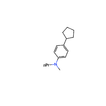 CCCN(C)c1ccc(C2CCCC2)cc1